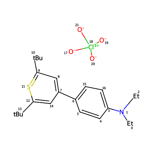 CCN(CC)c1ccc(-c2cc(C(C)(C)C)[s+]c(C(C)(C)C)c2)cc1.[O-][Cl+3]([O-])([O-])[O-]